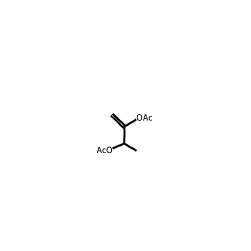 C=C(OC(C)=O)C(C)OC(C)=O